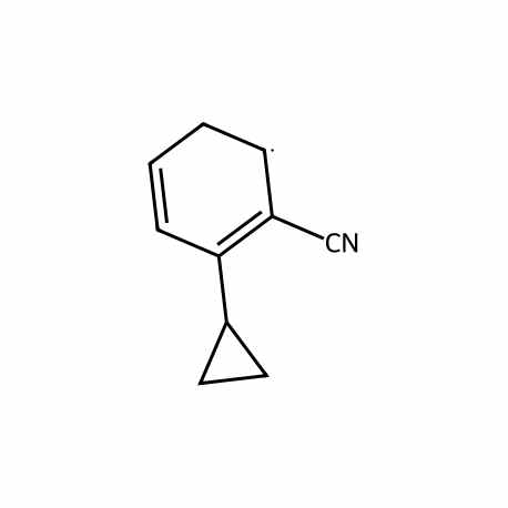 N#CC1=C(C2CC2)C=CC[CH]1